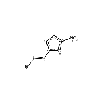 O=[N+]([O-])c1ccc(/C=C/Br)o1